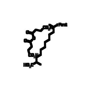 CCCCCC(C)CCCCCCCCC(C)C(=O)O.O=C(O)CCC(=O)OC(=O)CCC(=O)O